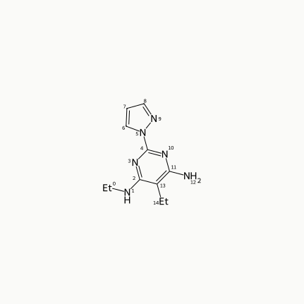 CCNc1nc(-n2cccn2)nc(N)c1CC